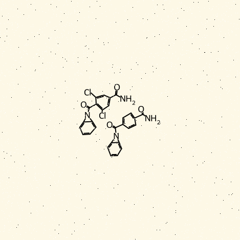 NC(=O)c1cc(Cl)c(C(=O)N2c3ccccc32)c(Cl)c1.NC(=O)c1ccc(C(=O)N2c3ccccc32)cc1